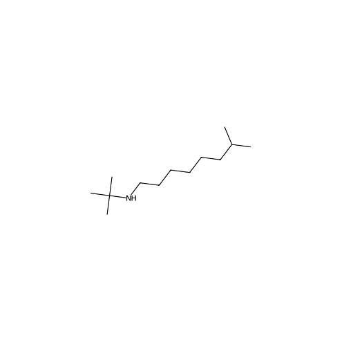 CC(C)CCCCCCNC(C)(C)C